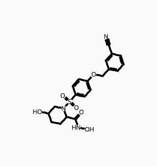 N#Cc1cccc(COc2ccc(S(=O)(=O)N3CC(O)CCC3C(=O)NO)cc2)c1